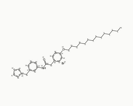 CCCCCCCCCCCCCCOc1ccc(CC(=O)Nc2cccc(C[n+]3ccsc3)c2)cc1.[Br-]